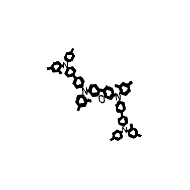 Cc1ccc(N(c2ccc(-c3ccc(N(c4ccc5c(c4)oc4cc(N(c6ccc(-c7ccc(N(c8ccc(C)cc8)c8ccc(C)cc8C)cc7)cc6)c6ccc(C)cc6C)ccc45)c4ccc(C)cc4C)cc3)cc2)c2ccc(C)cc2C)cc1